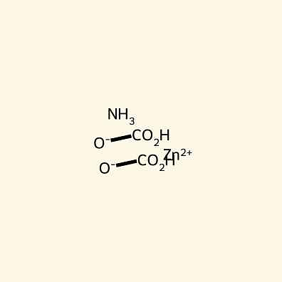 N.O=C([O-])O.O=C([O-])O.[Zn+2]